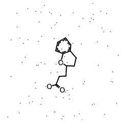 [O]C(=O)CCC1CCc2ccccc2O1